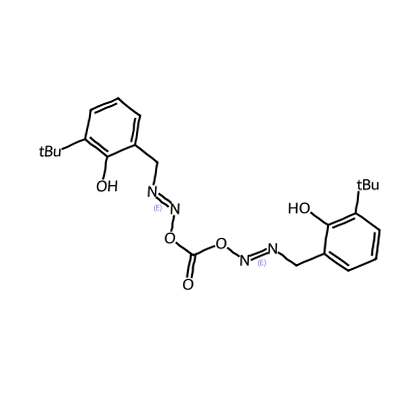 CC(C)(C)c1cccc(C/N=N/OC(=O)O/N=N/Cc2cccc(C(C)(C)C)c2O)c1O